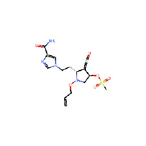 C=CCON1C[C@H](OS(C)(=O)=O)C(=C=O)[C@H]1CCn1cnc(C(N)=O)c1